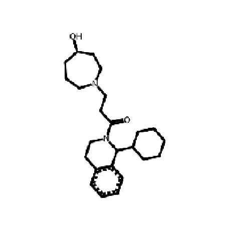 O=C(CCN1CCCC(O)CC1)N1CCc2ccccc2C1C1CCCCC1